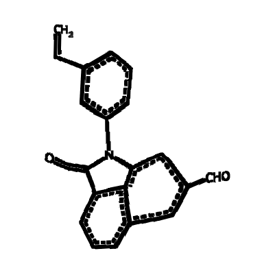 C=Cc1cccc(N2C(=O)c3cccc4cc(C=O)cc2c34)c1